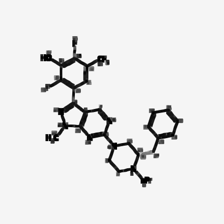 CCCN1CCN(c2ncc3c(-c4cc(C(F)(F)F)c(F)c(O)c4F)nn(C)c3n2)C[C@@H]1Cc1ccccc1